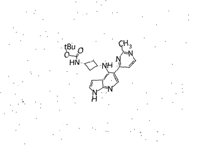 Cc1nccc(-c2cnc3[nH]ccc3c2N[C@H]2C[C@@H](NC(=O)OC(C)(C)C)C2)n1